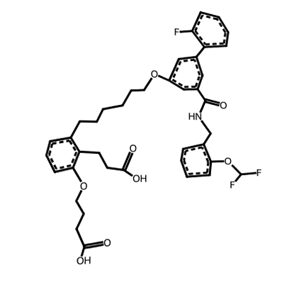 O=C(O)CCCOc1cccc(CCCCCCOc2cc(C(=O)NCc3ccccc3OC(F)F)cc(-c3ccccc3F)c2)c1CCC(=O)O